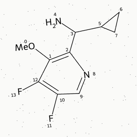 COc1c(C(N)C2CC2)ncc(F)c1F